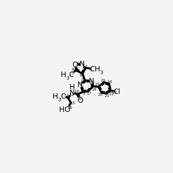 Cc1noc(C)c1-c1nc(C(=O)NC(C)CO)cc(-c2ccc(Cl)cc2)n1